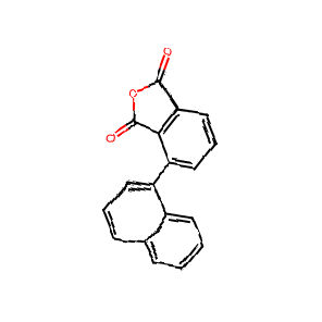 O=C1OC(=O)c2c1cccc2-c1cccc2ccccc12